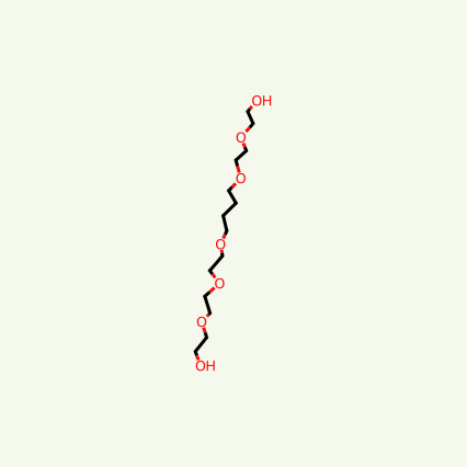 OCCOCCOCCCCOCCOCCOCCO